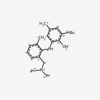 Cc1cc(Pc2c(C)cccc2CN(C(C)C)C(C)C)c(O)c(C(C)(C)C)c1